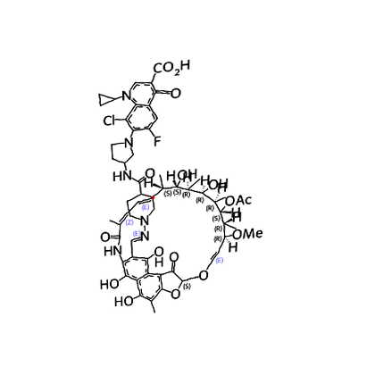 CO[C@H]1/C=C/O[C@@]2(C)Oc3c(C)c(O)c4c(O)c(c(/C=N/N5CCC(C(=O)NC6CCN(c7c(F)cc8c(=O)c(C(=O)O)cn(C9CC9)c8c7Cl)C6)CC5)c(O)c4c3C2=O)NC(=O)/C(C)=C\C=C\[C@H](C)[C@H](O)[C@@H](C)[C@@H](O)[C@@H](C)[C@H](OC(C)=O)[C@@H]1C